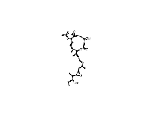 CCC(O)C(C)C1OC1CC(C)/C=C/C=C(\C)C1OC(=O)CC(O)CCC2(CO2)C(OC(C)=O)/C=C/C1C